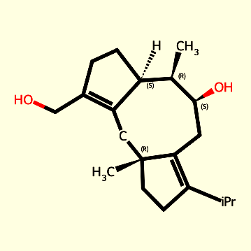 CC(C)C1=C2C[C@H](O)[C@H](C)[C@@H]3CCC(CO)=C3C[C@@]2(C)CC1